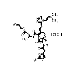 CC(C)CCOC(=O)OC(C)OC(=O)C1=C(CSc2nnnn2CCN(C)C)CS[C@@H]2[C@H](NC(=O)Cc3csc(N)n3)C(=O)N12.Cl.Cl